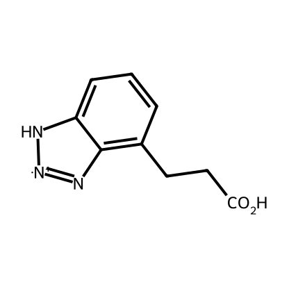 O=C(O)CCc1cccc2c1N=[N+]N2